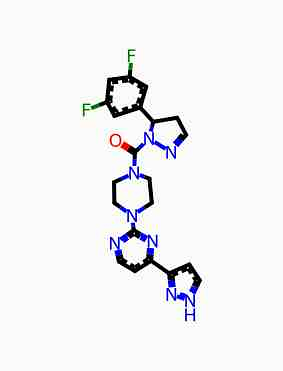 O=C(N1CCN(c2nccc(-c3cc[nH]n3)n2)CC1)N1N=CCC1c1cc(F)cc(F)c1